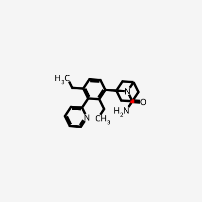 CCc1ccc(C23CCCC(C2)N3C(N)=O)c(CC)c1-c1ccccn1